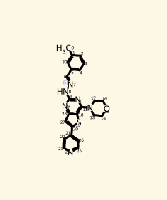 Cc1cccc(/C=N/Nc2nc(N3CCOCC3)c3sc(-c4ccncc4)cc3n2)c1